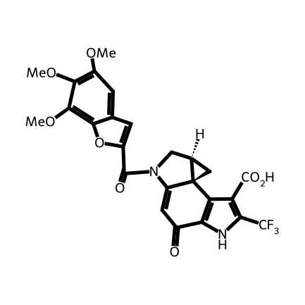 COc1cc2cc(C(=O)N3C[C@H]4C[C@@]45C3=CC(=O)c3[nH]c(C(F)(F)F)c(C(=O)O)c35)oc2c(OC)c1OC